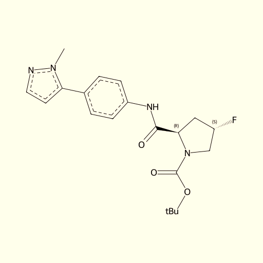 Cn1nccc1-c1ccc(NC(=O)[C@H]2C[C@H](F)CN2C(=O)OC(C)(C)C)cc1